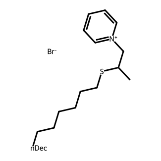 CCCCCCCCCCCCCCCCSC(C)C[n+]1ccccc1.[Br-]